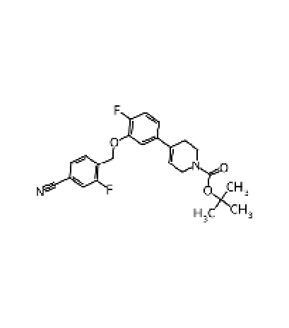 CC(C)(C)OC(=O)N1CC=C(c2ccc(F)c(OCc3ccc(C#N)cc3F)c2)CC1